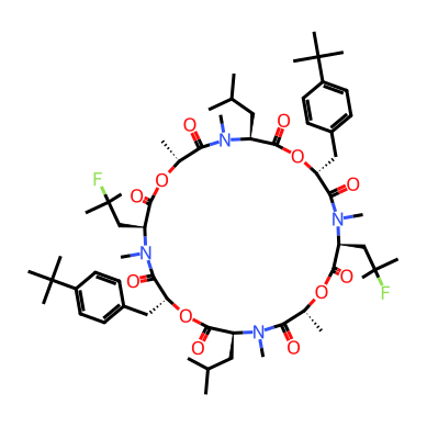 CC(C)C[C@H]1C(=O)O[C@H](Cc2ccc(C(C)(C)C)cc2)C(=O)N(C)[C@@H](CC(C)(C)F)C(=O)O[C@H](C)C(=O)N(C)[C@@H](CC(C)C)C(=O)O[C@H](Cc2ccc(C(C)(C)C)cc2)C(=O)N(C)[C@@H](CC(C)(C)F)C(=O)O[C@H](C)C(=O)N1C